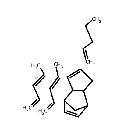 C1=CC2C3C=CC(C3)C2C1.C=C/C=C/C.C=C/C=C/C.C=CCCC